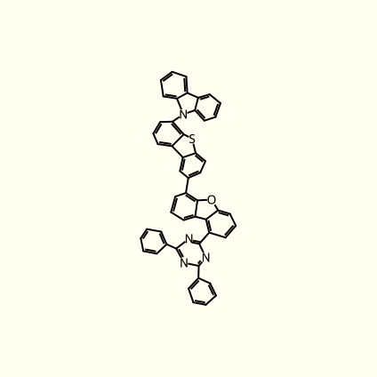 c1ccc(-c2nc(-c3ccccc3)nc(-c3cccc4oc5c(-c6ccc7sc8c(-n9c%10ccccc%10c%10ccccc%109)cccc8c7c6)cccc5c34)n2)cc1